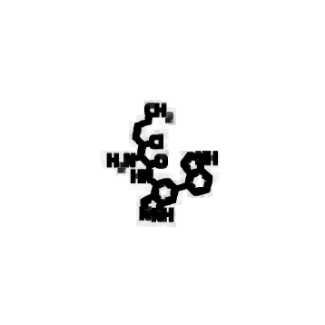 C=C/C=C\C(Cl)=C(/N)C(=O)Nc1cc(-c2cccc3[nH]ccc23)cc2[nH]ncc12